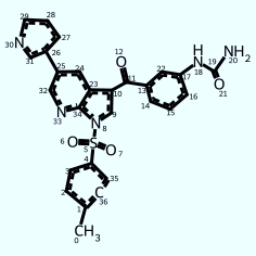 Cc1ccc(S(=O)(=O)n2cc(C(=O)c3cccc(NC(N)=O)c3)c3cc(-c4cccnc4)cnc32)cc1